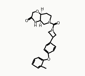 Cc1ccccc1Oc1ccc(C2CN(C(=O)N3CC[C@@H]4OCC(=O)N[C@@H]4C3)C2)cc1